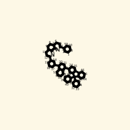 c1ccc(-c2ccc3ccc4ccc(-c5cccc(-c6ccc(-c7ccc8c(c7)C(c7ccccc7)(c7ccccc7)c7ccccc7-8)c7ccccc67)c5)nc4c3n2)cc1